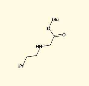 CC(C)CCNCC(=O)OC(C)(C)C